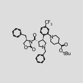 CC(C)(C)OC(=O)C1CCN(c2cc(C(F)(F)F)ccc2[C@H]2CN(Cc3ccccc3)C[C@@H]2C(=O)N2C(=O)OC[C@H]2Cc2ccccc2)CC1